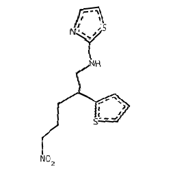 O=[N+]([O-])CCCC(CNc1nccs1)c1cccs1